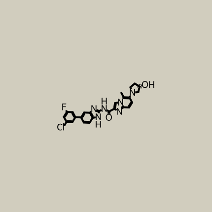 Cc1c(N2CC[C@H](O)C2)ccc2nc(C(=O)Nc3nc4cc(-c5cc(F)cc(Cl)c5)ccc4[nH]3)cn12